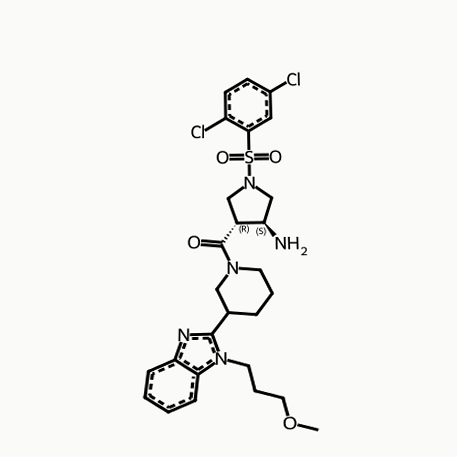 COCCCn1c(C2CCCN(C(=O)[C@@H]3CN(S(=O)(=O)c4cc(Cl)ccc4Cl)C[C@H]3N)C2)nc2ccccc21